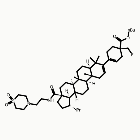 CCCCOC(=O)[C@]1(CF)CC=C(C2=CC[C@]3(C)[C@H]4CC[C@@H]5[C@H]6[C@H](C(C)C)CC[C@]6(C(=O)NCCN6CCS(=O)(=O)CC6)CC[C@@]5(C)[C@]4(C)CC[C@H]3C2(C)C)CC1